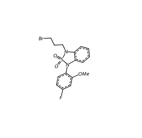 COc1cc(F)ccc1N1c2ccccc2N(CCCBr)S1(=O)=O